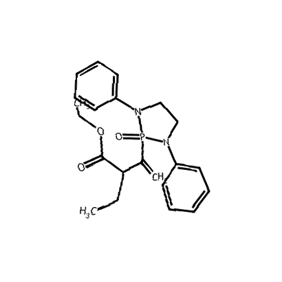 C=C(C(CC)C(=O)OCC)P1(=O)N(c2ccccc2)CCN1c1ccccc1